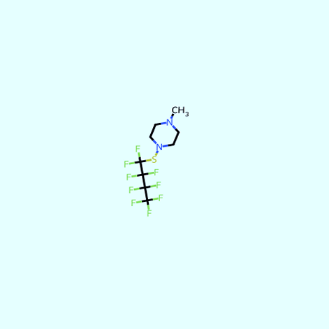 CN1CCN(SC(F)(F)C(F)(F)C(F)(F)C(F)(F)F)CC1